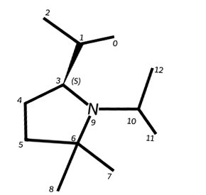 CC(C)[C@@H]1CCC(C)(C)N1C(C)C